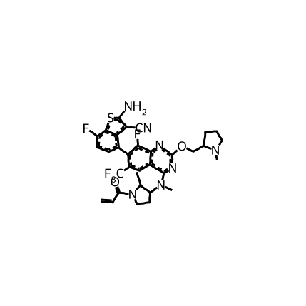 C=CC(=O)N1CCC(N(C)c2nc(OCC3CCCN3C)nc3c(F)c(-c4ccc(F)c5sc(N)c(C#N)c45)c(C(F)(F)F)cc23)C1C